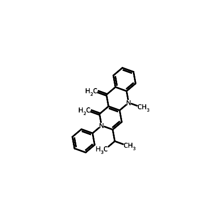 C=C1C2=C(C=C(C(C)C)N(c3ccccc3)C2=C)N(C)c2ccccc21